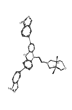 C[C@@]12COC[C@]1(C)CN(CCN1c3ccc(-c4ccc5[nH]ncc5c4)cc3Oc3cc(-c4ccc5[nH]ncc5c4)ccc31)C2